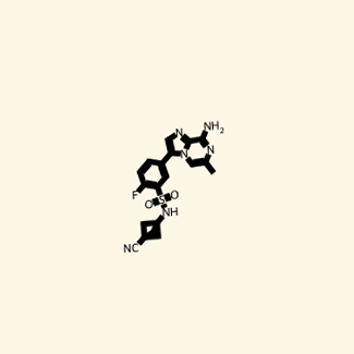 Cc1cn2c(-c3ccc(F)c(S(=O)(=O)NC45CC(C#N)(C4)C5)c3)cnc2c(N)n1